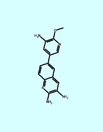 COc1ncc(-c2ccc3nc(N)c(N)cc3c2)cc1N